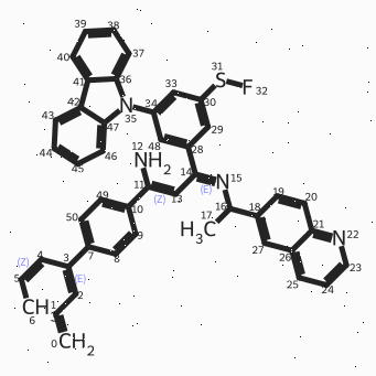 C=C/C=C(\C=C/C)c1ccc(/C(N)=C/C(=N\C(C)c2ccc3ncccc3c2)c2cc(SF)cc(-n3c4ccccc4c4ccccc43)c2)cc1